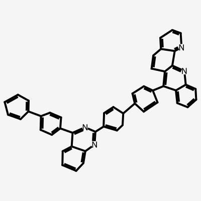 C1=CC(c2ccc(-c3c4ccccc4nc4c3ccc3cccnc34)cc2)CC=C1c1nc(-c2ccc(-c3ccccc3)cc2)c2ccccc2n1